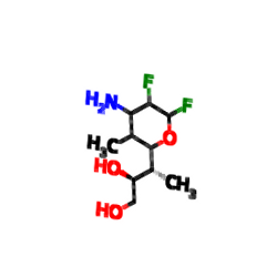 CC1C(N)C(F)C(F)OC1[C@H](C)[C@H](O)CO